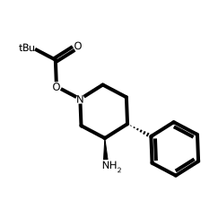 CC(C)(C)C(=O)ON1CC[C@H](c2ccccc2)[C@@H](N)C1